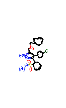 NS(=O)(=O)c1ccccc1-c1n[nH]c(COCc2ccccc2)c1-c1ccc(Cl)cc1